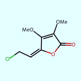 COC1=C(OC)/C(=C\CCl)OC1=O